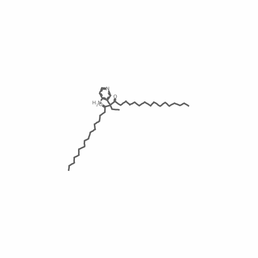 CCCCCCCCCCCCCCCC(=O)C(CC)(C(=O)CCCCCCCCCCCCCCC)c1cnccc1N